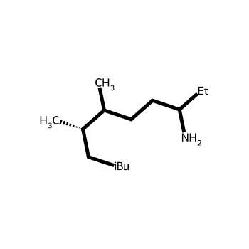 CCC(C)C[C@H](C)C(C)CCC(N)CC